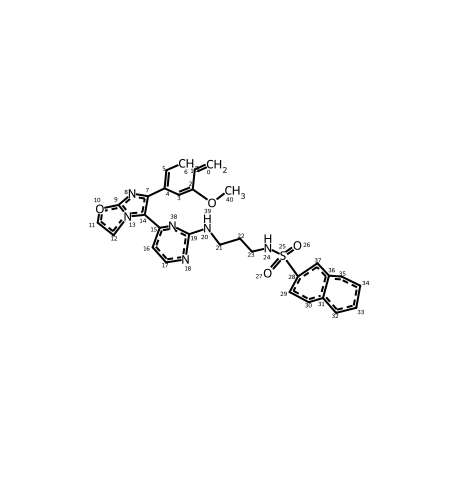 C=C/C(=C\C(=C/C)c1nc2occn2c1-c1ccnc(NCCCNS(=O)(=O)c2ccc3ccccc3c2)n1)OC